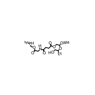 [3H]PCOC(=O)CNC(=O)CCC(=O)OCC(OC)OC(CC)CO